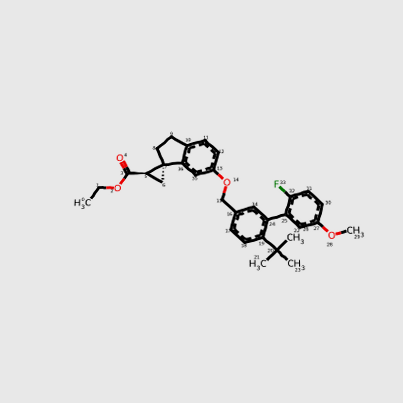 CCOC(=O)[C@@H]1C[C@@]12CCc1ccc(OCc3ccc(C(C)(C)C)c(-c4cc(OC)ccc4F)c3)cc12